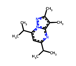 Cc1nn2c(C(C)C)cc(C(C)C)nc2c1C